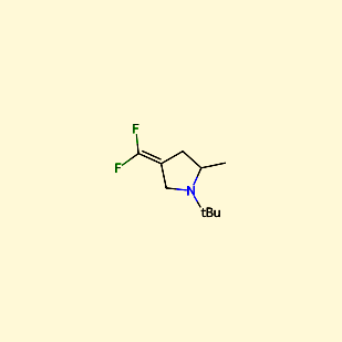 CC1CC(=C(F)F)CN1C(C)(C)C